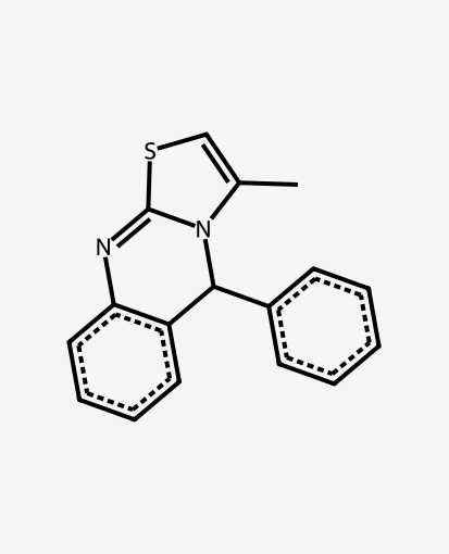 CC1=CSC2=Nc3ccccc3C(c3ccccc3)N12